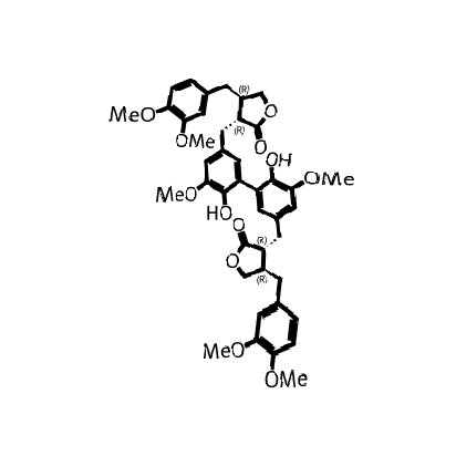 COc1ccc(C[C@H]2COC(=O)[C@@H]2Cc2cc(OC)c(O)c(-c3cc(C[C@H]4C(=O)OC[C@@H]4Cc4ccc(OC)c(OC)c4)cc(OC)c3O)c2)cc1OC